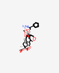 CC(=O)O[C@@H]1C[C@]23COC[C@@](C)([C@@H]2CC[C@H]2C3=CC(=O)[C@@]3(C)[C@H](C(=O)O)[C@@](C)([C@H](C)C(C)C)CC[C@]23C)[C@H]1OCC(N)c1ccccc1